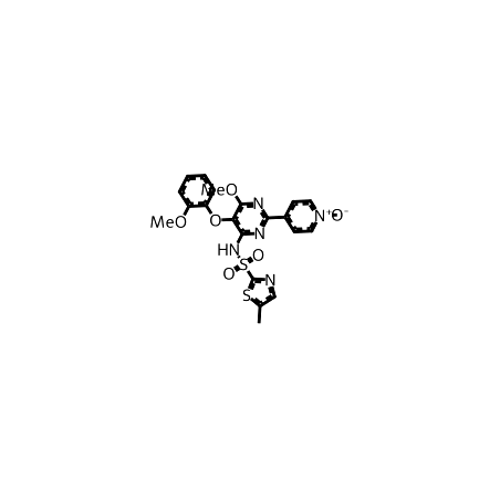 COc1ccccc1Oc1c(NS(=O)(=O)c2ncc(C)s2)nc(-c2cc[n+]([O-])cc2)nc1OC